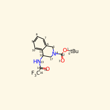 CC(C)(C)OC(=O)N1Cc2ccccc2C(NC(=O)C(F)(F)F)C1